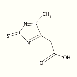 CC1=NC(=S)N=C1CC(=O)O